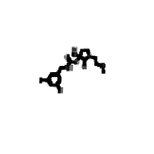 COCCN1CC[C@](O)(OC(=O)NCc2cc(F)cc(Cl)c2)C1=O